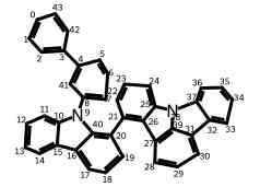 c1ccc(-c2cccc(-n3c4ccccc4c4cccc(-c5cccc6c5c5cccc7c8ccccc8n6c75)c43)c2)cc1